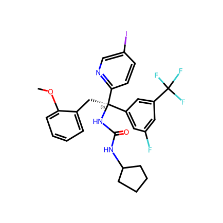 COc1ccccc1C[C@@](NC(=O)NC1CCCC1)(c1cc(F)cc(C(F)(F)F)c1)c1ccc(I)cn1